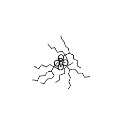 CCCCCC(CCCCC)C(C)(CCCCC)OP(=O)(OC(C)(CCCCC)C(CCCCC)CCCCC)OC(C)(CCCCC)C(CCCCC)CCCCC